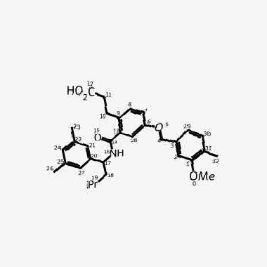 COc1cc(COc2ccc(CCC(=O)O)c(C(=O)NC(CC(C)C)c3cc(C)cc(C)c3)c2)ccc1C